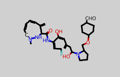 C=C(/C=C(O)\C(=C/CF)NC(=O)C1NN(C)C/C=C\C=C/C1=C)CC(O)N1CCCC1COC1CCC(C=O)CC1